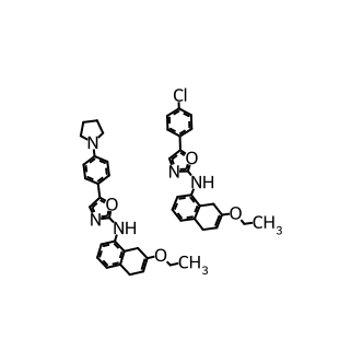 CCOC1=CCc2cccc(Nc3ncc(-c4ccc(Cl)cc4)o3)c2C1.CCOC1=CCc2cccc(Nc3ncc(-c4ccc(N5CCCC5)cc4)o3)c2C1